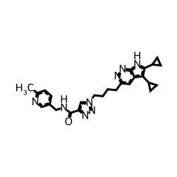 Cc1ccc(CNC(=O)c2cn(CCCCc3cc4c(C5CC5)c(C5CC5)[nH]c4nn3)nn2)cn1